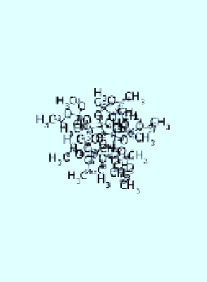 CCOC(C)(OC)OC(CC)(OC(C)(OC)OCC)C(C)(OC(C)(OC)OCC)C(=O)C(C)(OC(C)(OC)OCC)C(CC)(OC(C)(OC)OCC)OC(C)(OC)OCC